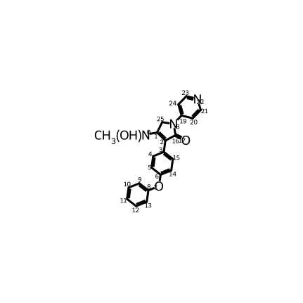 CN(O)C1=C(c2ccc(Oc3ccccc3)cc2)C(=O)N(c2ccncc2)C1